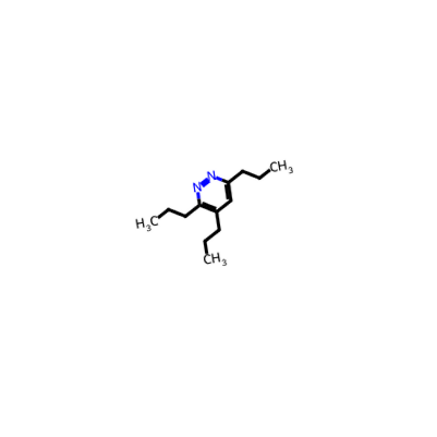 CCCc1cc(CCC)c(CCC)nn1